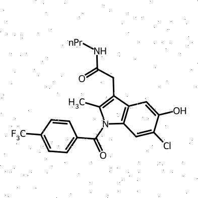 CCCNC(=O)Cc1c(C)n(C(=O)c2ccc(C(F)(F)F)cc2)c2cc(Cl)c(O)cc12